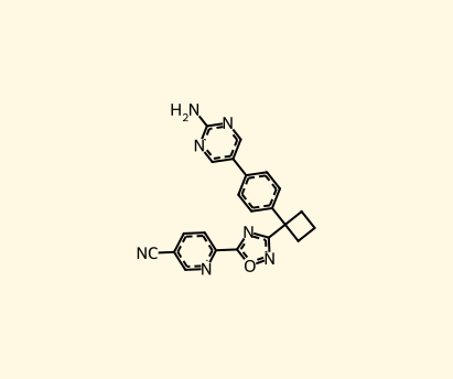 N#Cc1ccc(-c2nc(C3(c4ccc(-c5cnc(N)nc5)cc4)CCC3)no2)nc1